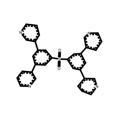 O=S(=O)(c1cc(-c2cccnc2)cc(-c2cccnc2)c1)c1cc(-c2cccnc2)cc(-c2cccnc2)c1